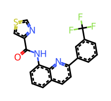 O=C(Nc1cccc2ccc(-c3cccc(C(F)(F)F)c3)nc12)c1cscn1